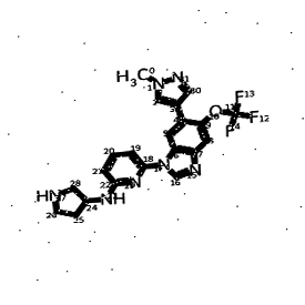 Cn1cc(-c2cc3c(cc2OC(F)(F)F)ncn3-c2cccc(NC3CCNC3)n2)cn1